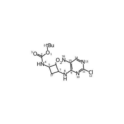 CC(C)(C)OC(=O)NC1CC(Nc2nc(Cl)ncc2[N+](=O)[O-])C1